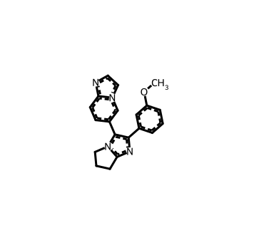 COc1cccc(-c2nc3n(c2-c2ccc4nccn4c2)CCC3)c1